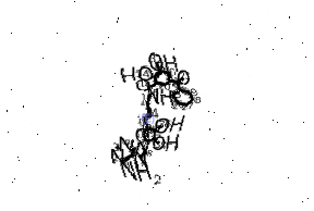 Nc1ncnc2c1ncn2C1OC(/C=C/CNC(=O)c2cc(C(=O)C3CCCCC3)cc(O)c2O)C(O)C1O